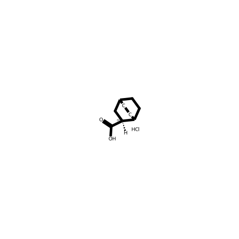 Cl.O=C(O)[C@H]1CC2CCC1CC2